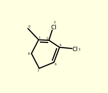 CC1=C(Cl)C(Cl)=CCC1